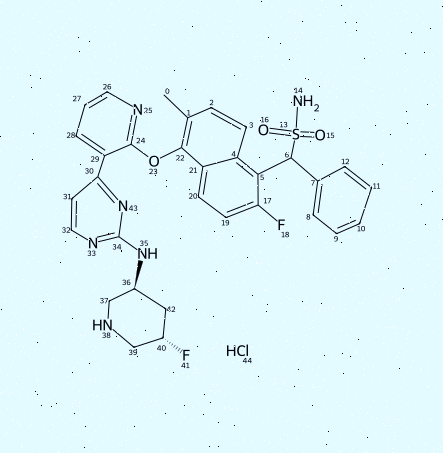 Cc1ccc2c(C(c3ccccc3)S(N)(=O)=O)c(F)ccc2c1Oc1ncccc1-c1ccnc(N[C@@H]2CNC[C@@H](F)C2)n1.Cl